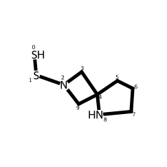 SSN1CC2(CCCN2)C1